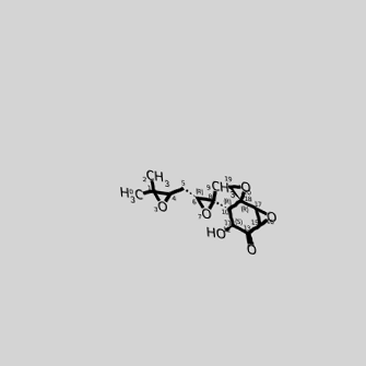 CC1(C)OC1C[C@H]1OC1(C)[C@H]1[C@H](O)C(=O)C2OC2[C@]12CO2